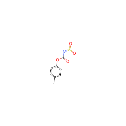 Cc1ccc(OC(=O)N=S(=O)=O)cc1